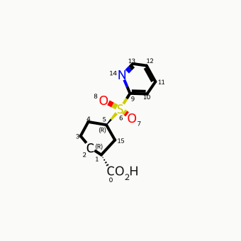 O=C(O)[C@@H]1CCC[C@@H](S(=O)(=O)c2ccccn2)C1